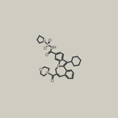 O=C(NS(=O)(=O)N1CCCC1)c1ccc2c(C3CCCCC3)c3n(c2c1)CC(C(=O)N1CCOCC1)=Cc1ccccc1-3